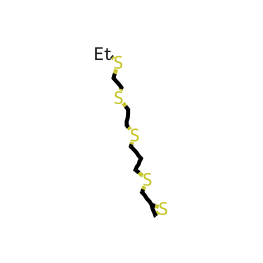 CCSCCSCCSCCCSCC1CS1